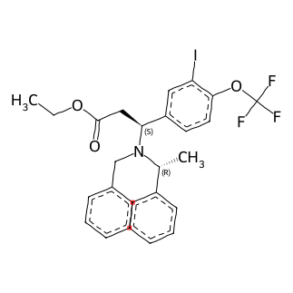 CCOC(=O)C[C@@H](c1ccc(OC(F)(F)F)c(I)c1)N(Cc1ccccc1)[C@H](C)c1ccccc1